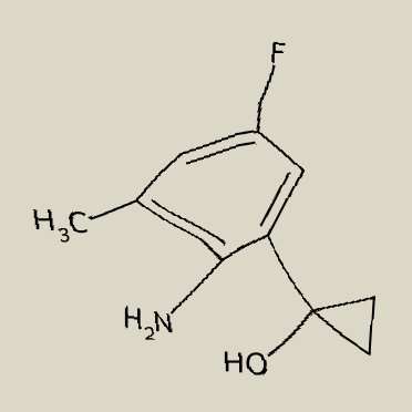 Cc1cc(F)cc(C2(O)CC2)c1N